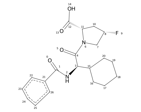 O=C(N[C@@H](C(=O)N1C[C@@H](F)C[C@H]1C(=O)O)C1CCCCC1)c1ccccc1